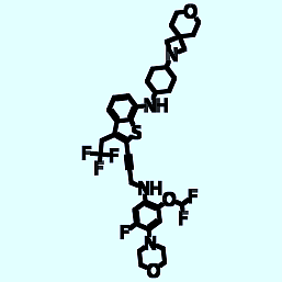 Fc1cc(NCC#Cc2sc3c(NC4CCC(N5CC6(CCOCC6)C5)CC4)cccc3c2CC(F)(F)F)c(OC(F)F)cc1N1CCOCC1